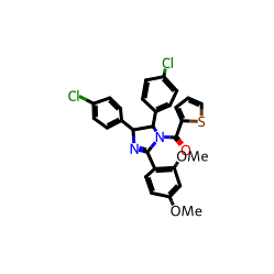 COc1ccc(C2=NC(c3ccc(Cl)cc3)C(c3ccc(Cl)cc3)N2C(=O)c2cccs2)c(OC)c1